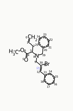 C=CCC(C(=O)OC)N(C/C(Br)=C/c1ccccc1)Cc1ccccc1